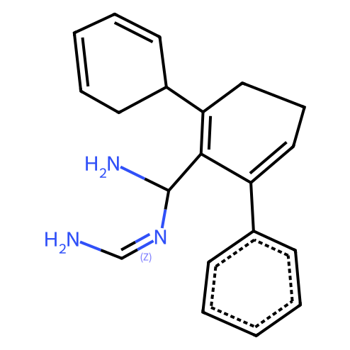 N/C=N\C(N)C1=C(C2C=CC=CC2)CCC=C1c1ccccc1